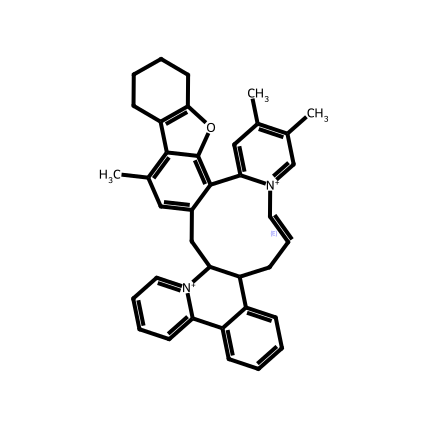 Cc1cc2[n+](cc1C)/C=C/CC1c3ccccc3-c3cccc[n+]3C1Cc1cc(C)c3c4c(oc3c1-2)CCCC4